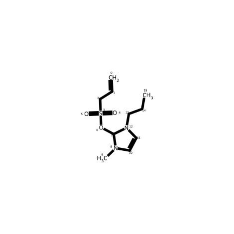 C=CCS(=O)(=O)OC1N(C)C=CN1CCC